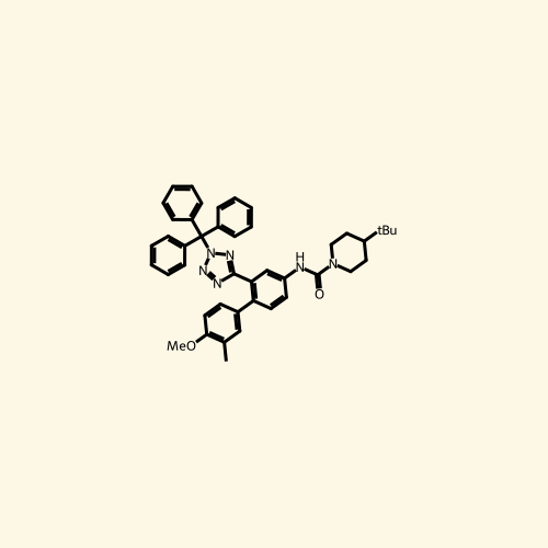 COc1ccc(-c2ccc(NC(=O)N3CCC(C(C)(C)C)CC3)cc2-c2nnn(C(c3ccccc3)(c3ccccc3)c3ccccc3)n2)cc1C